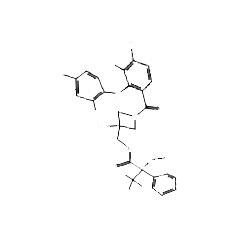 CO[C@@](C(=O)N[C@H](C)C1(O)CN(C(=O)c2ccc(F)c(F)c2Nc2ccc(I)cc2F)C1)(c1ccccc1)C(F)(F)F